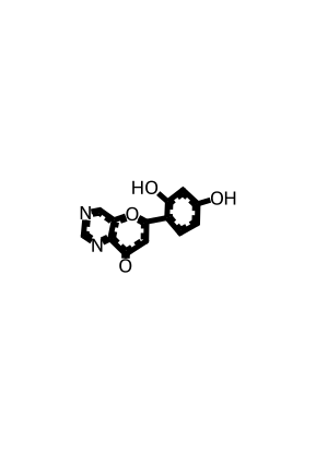 O=c1cc(-c2ccc(O)cc2O)oc2cncnc12